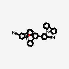 N#Cc1ccc2c(c1)c1ccccc1n2-c1ccccc1-c1cc(-c2ccc(C#N)c(-n3c4ccccc4c4ccccc43)c2)ccc1C#N